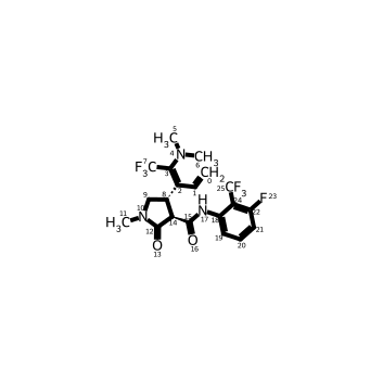 C=C/C(=C(\N(C)C)C(F)(F)F)[C@H]1CN(C)C(=O)[C@@H]1C(=O)Nc1cccc(F)c1C(F)(F)F